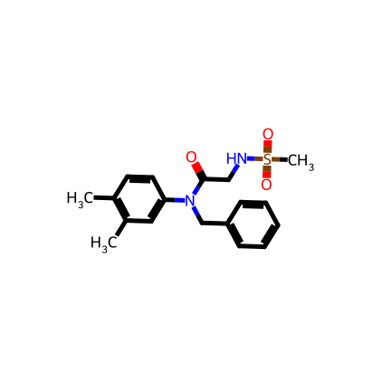 Cc1ccc(N(Cc2ccccc2)C(=O)CNS(C)(=O)=O)cc1C